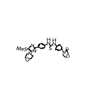 CSc1cnc(-c2ccc(NC(=S)Nc3ccc(N4CCOCC4=O)cc3)cc2)nc1N1CCOCC1